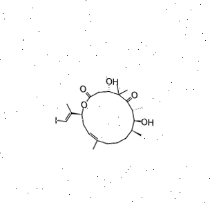 C/C1=C/C[C@@H](/C(C)=C/I)OC(=O)C[C@H](O)C(C)(C)C(=O)[C@H](C)[C@@H](O)[C@@H](C)CCC1